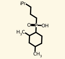 CC(C)CCCP(=O)(O)C1CCC(C)CC1C